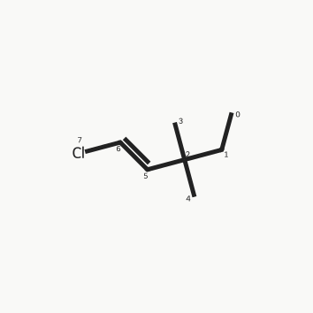 CCC(C)(C)C=CCl